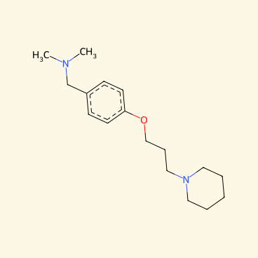 CN(C)Cc1ccc(OCCCN2CCCCC2)cc1